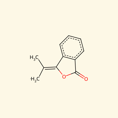 [CH2]C(C)=C1OC(=O)c2ccccc21